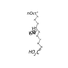 CCCCCCCCCCCCCCCCCC(=O)O.O.[KH]